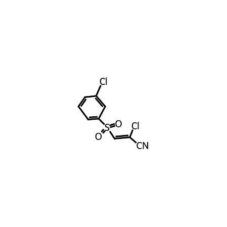 N#CC(Cl)=CS(=O)(=O)c1cccc(Cl)c1